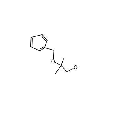 CC(C)(C[O])OCc1ccccc1